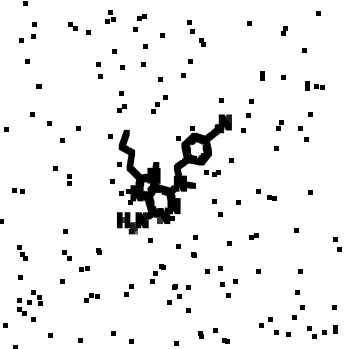 CCCCc1nc2c(N)nnc(N(C)Cc3ccc(C#N)cc3)c2n1C